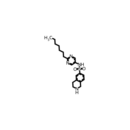 CCCCCCCc1ncc(NS(=O)(=O)c2ccc3c(c2)CCNC3)cn1